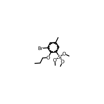 CCCOc1c(Br)cc(C)cc1[Si](OC)(OC)OC